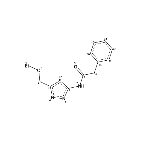 CCOCc1nnc(NC(=O)Cc2ccccc2)s1